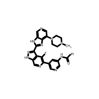 CC(C)C(=O)Nc1cncc(-c2ncc3[nH]nc(-c4nc5c(N6CCN(C)CC6)cncc5[nH]4)c3c2F)c1